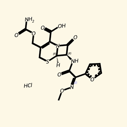 CO/N=C(\C(=O)N[C@@H]1C(=O)N2C(C(=O)O)=C(COC(N)=O)CS[C@H]12)c1ccco1.Cl